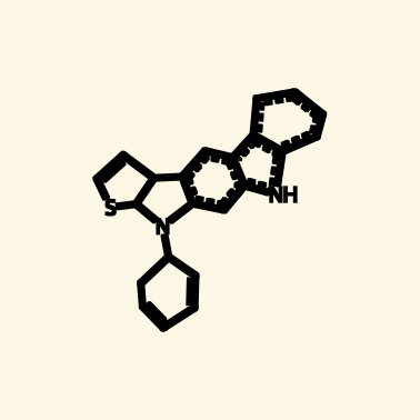 C1=CCC(N2c3cc4[nH]c5ccccc5c4cc3C3C=CSC32)C=C1